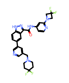 O=C(Nc1ccnc(N2CC(F)(F)C2)c1)c1n[nH]c2ccc(-c3cncc(CN4CCC(F)(F)CC4)c3)cc12